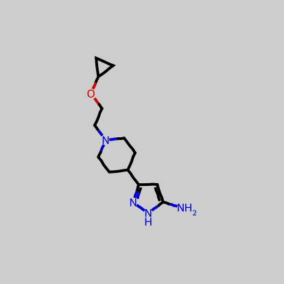 Nc1cc(C2CCN(CCOC3CC3)CC2)n[nH]1